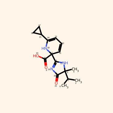 CC(C)C1(C)NC(C2(C(=O)O)C=CC=C(C3CC3)N2)=NC1=O